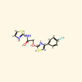 O=C(COc1nc(-c2ccc(F)cc2)cs1)Nc1nccs1